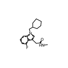 CNC(=O)Cc1cn(CC2CCCCC2)c2cccc(F)c12